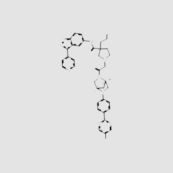 CCCC1(C(=O)Nc2ccc3[nH]nc(-c4ccncc4)c3c2)CCN(CC(=O)N2C[C@@H]3C[C@H]2CN3c2ccc(-c3ncc(F)cn3)cc2)C1